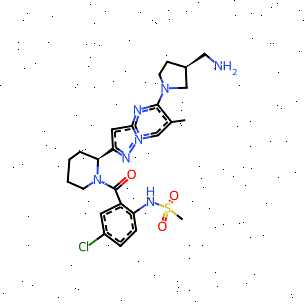 Cc1cn2nc([C@@H]3CCCCN3C(=O)c3cc(Cl)ccc3NS(C)(=O)=O)cc2nc1N1CC[C@@H](CN)C1